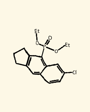 CCOP(=O)(OCC)c1c2c(cc3ccc(Cl)cc13)CCC2